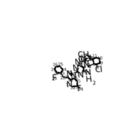 COC(=O)N(Cc1c(Cl)cccc1Cl)c1c(N)nc(-n2nc(Cc3ccccc3F)c3ncc(F)cc32)nc1N